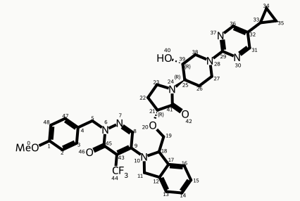 COc1ccc(Cn2ncc(N3Cc4ccccc4C3CO[C@@H]3CCN([C@@H]4CCN(c5ncc(C6CC6)cn5)C[C@H]4O)C3=O)c(C(F)(F)F)c2=O)cc1